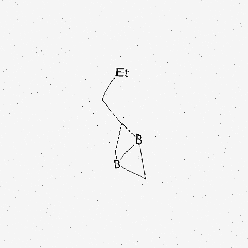 CCCC1B2CB21